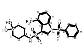 O=S(=O)(NC1CCS(O)(O)CC1)c1cn(S(=O)(=O)c2ccccc2)c2cccc(C(F)(F)F)c12